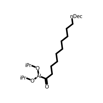 CCCCCCCCCCCCCCCCCCC[C](=O)[Al]([O]C(C)C)[O]C(C)C